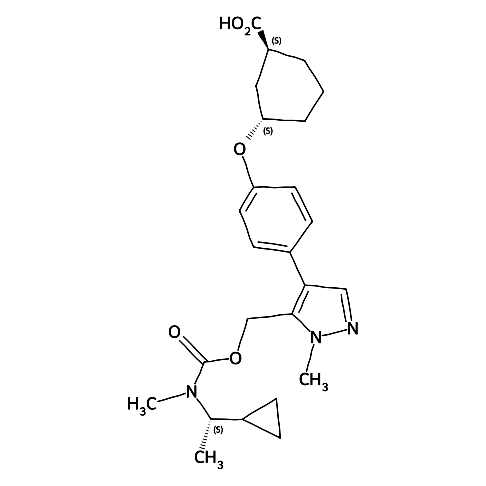 C[C@@H](C1CC1)N(C)C(=O)OCc1c(-c2ccc(O[C@H]3CCC[C@H](C(=O)O)C3)cc2)cnn1C